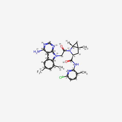 Cc1ccc(Cl)nc1NC(=O)[C@@H]1C[C@@]2(C)C[C@H]2N1C(=O)Cn1c2ncnc(N)c2c2cc(C(F)(F)F)cc(C)c21